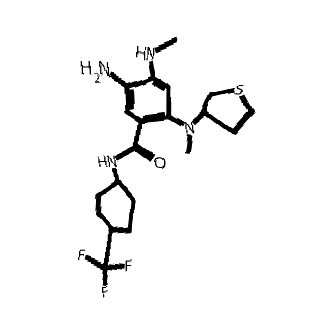 CNc1cc(N(C)C2CCSC2)c(C(=O)NC2CCC(C(F)(F)F)CC2)cc1N